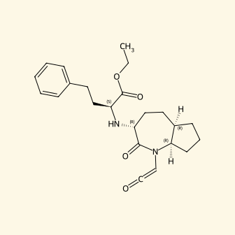 CCOC(=O)[C@H](CCc1ccccc1)N[C@@H]1CC[C@H]2CCC[C@H]2N(C=C=O)C1=O